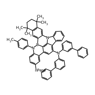 CCCCCc1ccc2c(c1)-c1cc(N(c3cccc(-c4ccccc4)c3)c3cccc(-c4ccccc4)c3)c3c4ccccc4n4c3c1B(c1cc3c(cc1-4)C(C)(C)CCC3(C)C)N2c1ccc(C)cc1